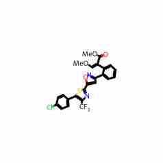 COC=C(C(=O)OC)c1ccccc1-c1cc(-c2nc(C(F)(F)F)c(-c3ccc(Cl)cc3)s2)on1